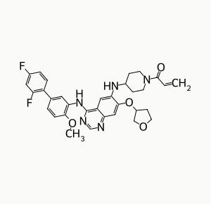 C=CC(=O)N1CCC(Nc2cc3c(Nc4cc(-c5ccc(F)cc5F)ccc4OC)ncnc3cc2OC2CCOC2)CC1